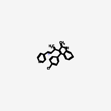 C=C(/C=C/c1ccncc1)C1=C(c2ccc(Cl)cc2)c2ccccc2NC1=C